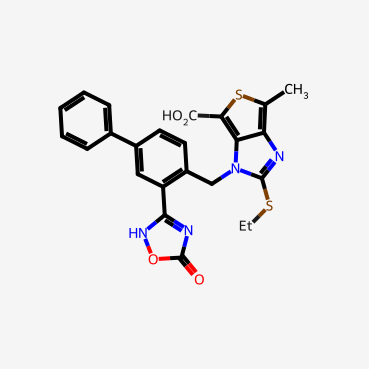 CCSc1nc2c(C)sc(C(=O)O)c2n1Cc1ccc(-c2ccccc2)cc1-c1nc(=O)o[nH]1